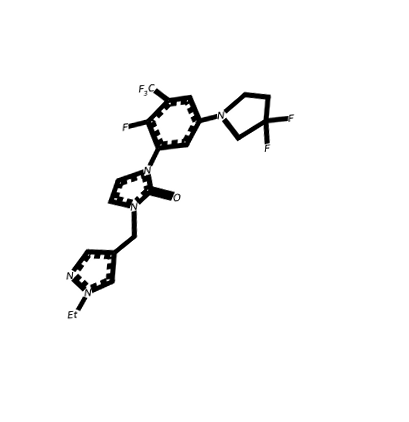 CCn1cc(Cn2ccn(-c3cc(N4CCC(F)(F)C4)cc(C(F)(F)F)c3F)c2=O)cn1